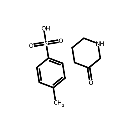 Cc1ccc(S(=O)(=O)O)cc1.O=C1CCCNC1